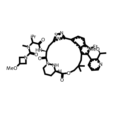 CCn1c(-c2cccnc2[C@H](C)OC)c2c3cc(ccc31)-c1nsc(n1)C[C@H](NC(=O)C(C(C)C)N(C)C(=O)N1CC(OC)C1)C(=O)N1CCC[C@H](N1)C(=O)OCC(C)(C)C2